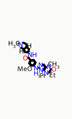 CC[C@@H]1C(=O)N(C)c2cnc(Nc3ccc(C(=O)N[C@@H]4C[C@H]5CCN(C)C[C@H]5C4)cc3OC)nc2N1C(C)C